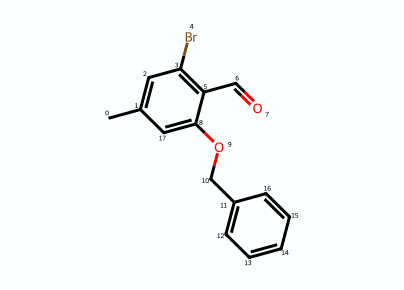 Cc1cc(Br)c(C=O)c(OCc2ccccc2)c1